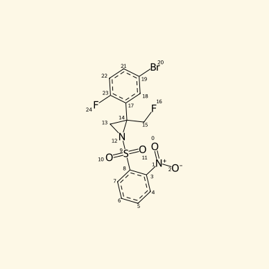 O=[N+]([O-])c1ccccc1S(=O)(=O)N1CC1(CF)c1cc(Br)ccc1F